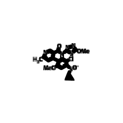 COc1nnc(NC(=O)c2cnc(C)cc2-c2cc(Cl)c([S+]([O-])C3CC3)cc2OC)s1